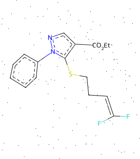 CCOC(=O)c1cnn(-c2ccccc2)c1SCCC=C(F)F